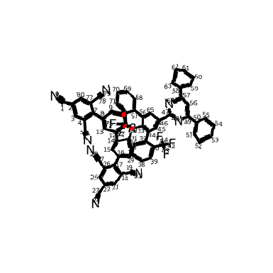 N#Cc1cc(C#N)c(-c2ccc3c(c2)c2cc(-c4c(C#N)cc(C#N)cc4C#N)ccc2n3-c2c(-c3ccccc3C(F)(F)F)cc(-c3nc(-c4ccccc4)cc(-c4ccccc4)n3)cc2-c2ccccc2C(F)(F)F)c(C#N)c1